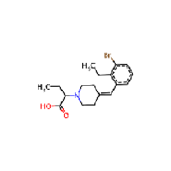 CCc1c(Br)cccc1C=C1CCN(C(CC)C(=O)O)CC1